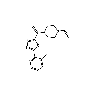 Cc1cccnc1-c1nnc(C(=O)C2CCN(C=O)CC2)o1